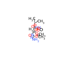 CCCC(CCC)COC(=O)C(C)NP(=O)(OCC1(COC(=O)C(C)C)C/C1=C/n1ccc(N)nc1=O)Oc1ccccc1